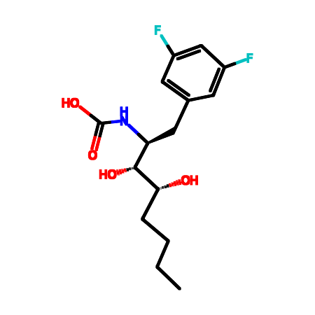 CCCC[C@@H](O)[C@H](O)[C@H](Cc1cc(F)cc(F)c1)NC(=O)O